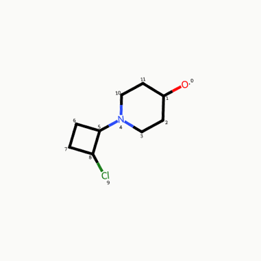 [O]C1CCN(C2CCC2Cl)CC1